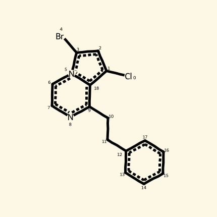 Clc1cc(Br)n2ccnc(CCc3ccccc3)c12